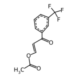 CC(=O)OC=CC(=O)c1cccc(C(F)(F)F)c1